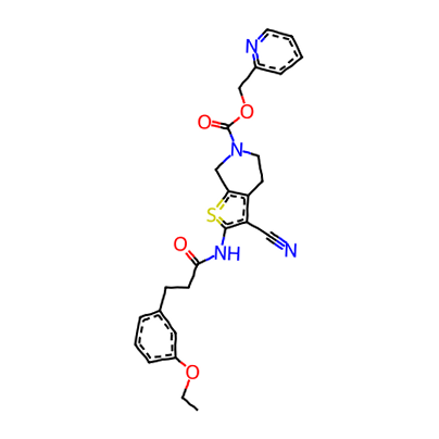 CCOc1cccc(CCC(=O)Nc2sc3c(c2C#N)CCN(C(=O)OCc2ccccn2)C3)c1